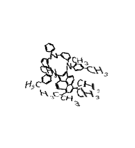 Cc1ccc(N2c3cccc(c3)N(c3ccccc3)c3cccc(c3)N(c3ccc(C)cc3C)c3cc2c2ccc4c(C(C)C)cc(C(C)C)c5ccc3c2c45)c(C)c1